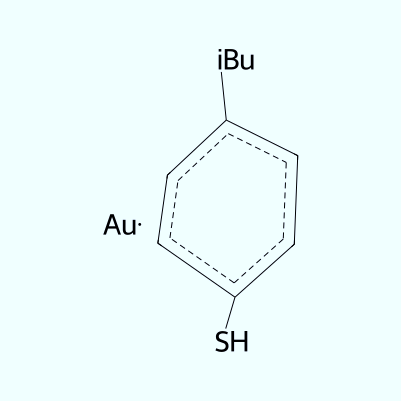 CCC(C)c1ccc(S)cc1.[Au]